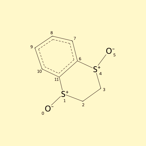 [O-][S+]1CC[S+]([O-])c2ccccc21